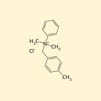 Cc1ccc(C[N+](C)(C)c2ccccc2)cc1.[Cl-]